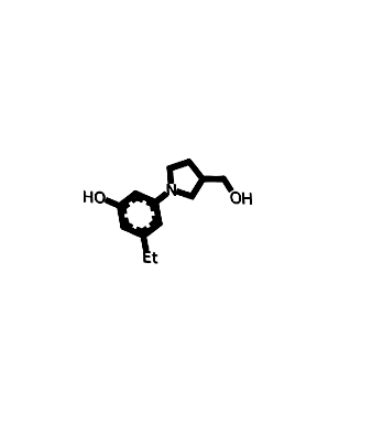 CCc1cc(O)cc(N2CCC(CO)C2)c1